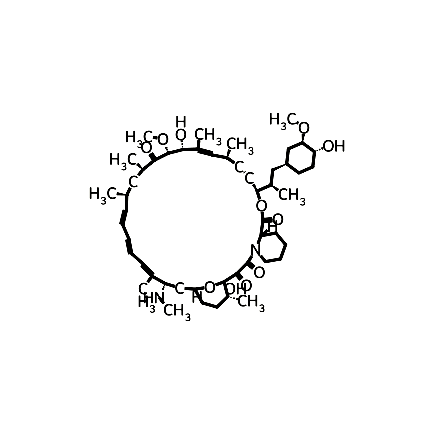 CN[C@H]1C[C@@H]2CC[C@@H](C)[C@@](O)(O2)C(=O)C(=O)N2CCCC[C@H]2C(=O)O[C@H]([C@H](C)C[C@@H]2CC[C@@H](O)[C@H](OC)C2)CC[C@H](C)/C=C(\C)[C@@H](O)[C@@H](OC)C(=O)[C@H](C)C[C@H](C)/C=C/C=C/C=C/1C